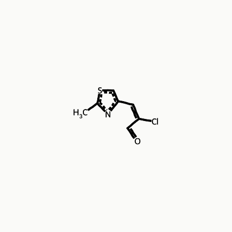 Cc1nc(/C=C(/Cl)C=O)cs1